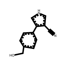 N#Cc1c[nH]cc1-c1ccc(CO)cc1